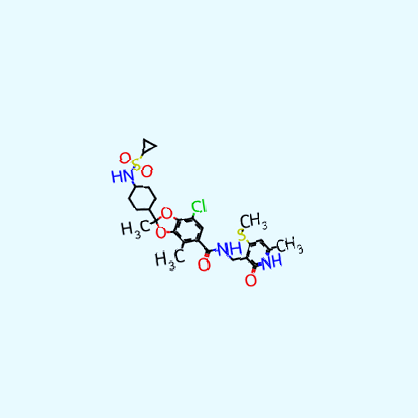 CSc1cc(C)[nH]c(=O)c1CNC(=O)c1cc(Cl)c2c(c1C)OC(C)(C1CCC(NS(=O)(=O)C3CC3)CC1)O2